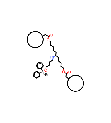 CC(C)(C)[Si](OCCCCNC(CCCCCOC(=O)CC1CCCCCCCCCCCCCC1)CCCCCOC(=O)CC1CCCCCCCCCCCCCC1)(c1ccccc1)c1ccccc1